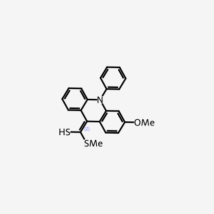 COc1ccc2c(c1)N(c1ccccc1)c1ccccc1/C2=C(\S)SC